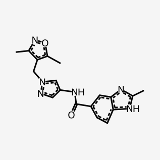 Cc1nc2cc(C(=O)Nc3cnn(Cc4c(C)noc4C)c3)ccc2[nH]1